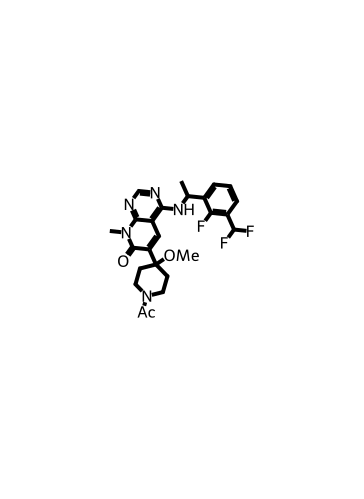 COC1(c2cc3c(NC(C)c4cccc(C(F)F)c4F)ncnc3n(C)c2=O)CCN(C(C)=O)CC1